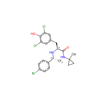 N#CC1(NC(=O)[C@H](Cc2cc(Cl)c(O)c(Cl)c2)N[C@@H](c2ccc(Br)cc2)C(F)(F)F)CC1